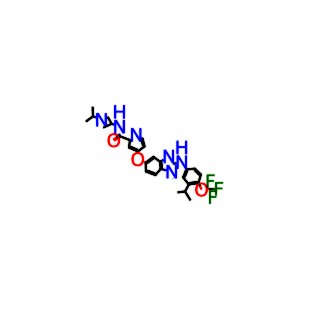 CC(C)c1cc(Nc2nc3cc(Oc4ccnc(C(=O)NC5CN(C(C)C)C5)c4)ccc3n2C)ccc1OC(F)(F)F